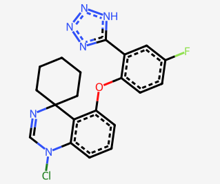 Fc1ccc(Oc2cccc3c2C2(CCCCC2)N=CN3Cl)c(-c2nnn[nH]2)c1